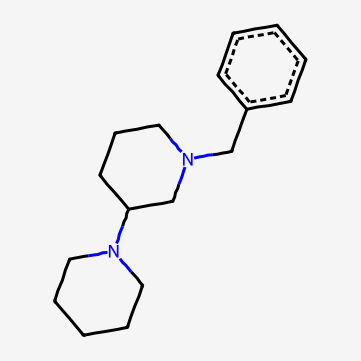 c1ccc(CN2CCCC(N3CCCCC3)C2)cc1